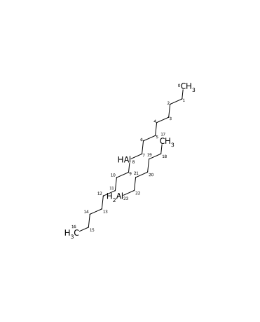 CCCCCCC[CH2][AlH][CH2]CCCCCCC.CCCCC[CH2][AlH2]